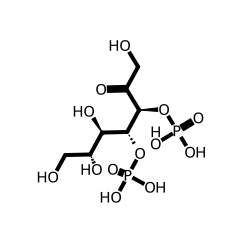 O=C(CO)[C@@H](OP(=O)(O)O)[C@H](OP(=O)(O)O)[C@H](O)[C@H](O)CO